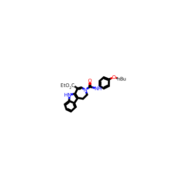 CCCCOc1ccc(NC(=O)N2C=C(C(=O)OCC)c3[nH]c4ccccc4c3CC2)cc1